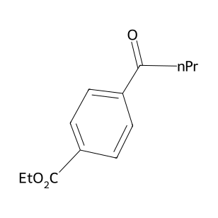 CCCC(=O)c1ccc(C(=O)OCC)cc1